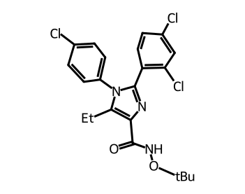 CCc1c(C(=O)NOC(C)(C)C)nc(-c2ccc(Cl)cc2Cl)n1-c1ccc(Cl)cc1